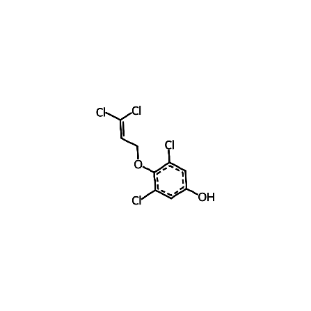 Oc1cc(Cl)c(OCC=C(Cl)Cl)c(Cl)c1